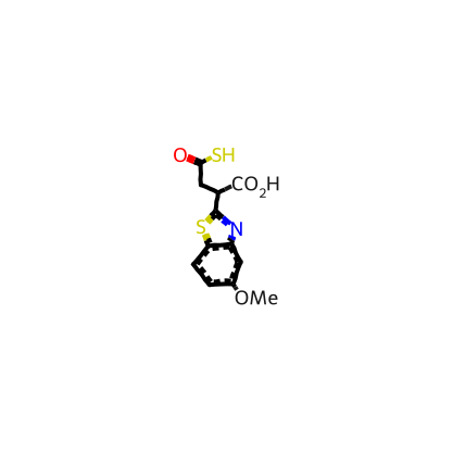 COc1ccc2sc(C(CC(=O)S)C(=O)O)nc2c1